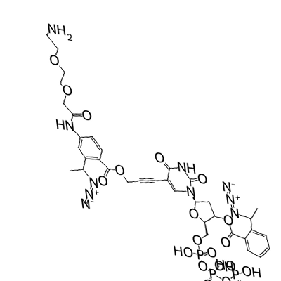 CC(N=[N+]=[N-])c1cc(NC(=O)COCCOCCN)ccc1C(=O)OCC#Cc1cn([C@H]2CC(OC(=O)c3ccccc3C(C)N=[N+]=[N-])[C@@H](COP(=O)(O)OP(=O)(O)OP(=O)(O)O)O2)c(=O)[nH]c1=O